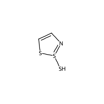 SS1=NC=CS1